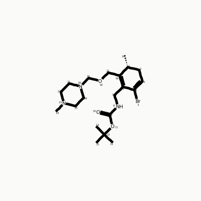 C[C@@H]1CC=C(Br)C(CNC(=O)OC(C)(C)C)=C1COCN1CCN(C)CC1